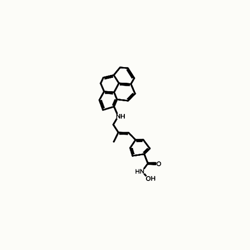 CC(=Cc1ccc(C(=O)NO)cc1)CNc1ccc2c3c4c(ccc13)C=CCC4=CC2